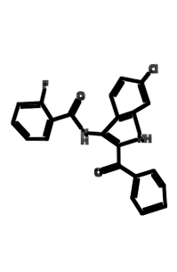 O=C(Nc1c(C(=O)c2ccccc2)[nH]c2cc(Cl)ccc12)c1ccccc1F